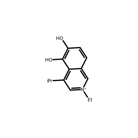 CC[n+]1cc(C(C)C)c2c(O)c(O)ccc2c1